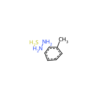 Cc1ccccc1.NN.S